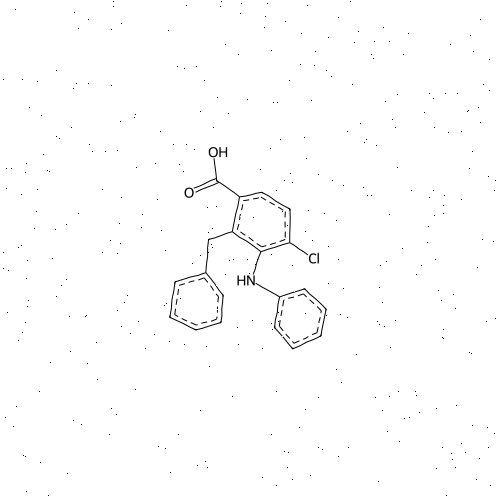 O=C(O)c1ccc(Cl)c(Nc2ccccc2)c1Cc1ccccc1